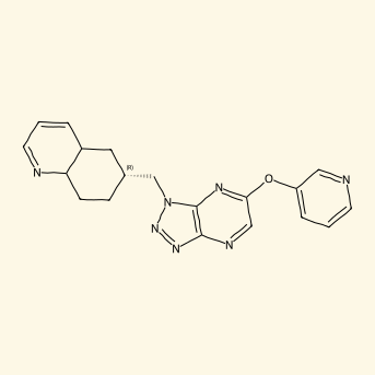 C1=CC2C[C@H](Cn3nnc4ncc(Oc5cccnc5)nc43)CCC2N=C1